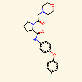 O=C(Nc1ccc(Oc2ccc(F)cc2)cc1)C1CCCN1C(=O)CN1CCOCC1